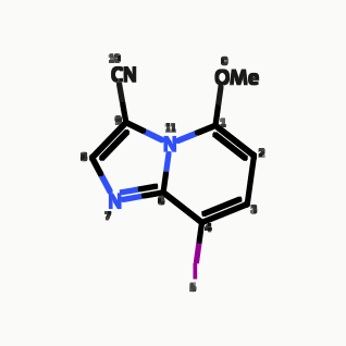 COc1ccc(I)c2ncc(C#N)n12